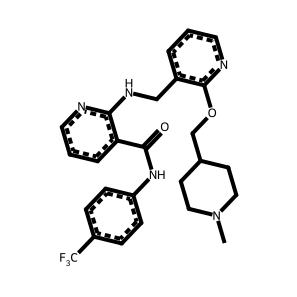 CN1CCC(COc2ncccc2CNc2ncccc2C(=O)Nc2ccc(C(F)(F)F)cc2)CC1